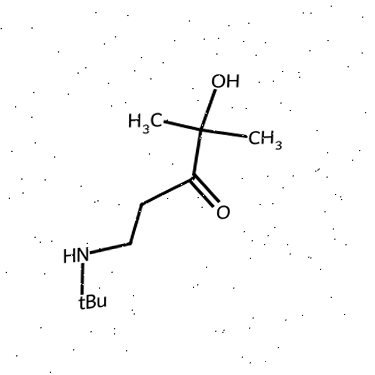 CC(C)(C)NCCC(=O)C(C)(C)O